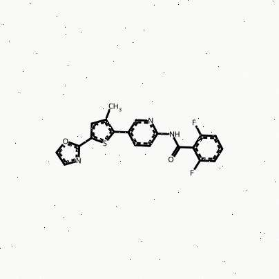 Cc1cc(-c2ncco2)sc1-c1ccc(NC(=O)c2c(F)cccc2F)nc1